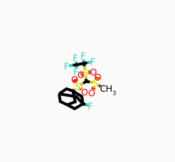 CS(=O)(=O)C(S(=O)(=O)C12CC3CC(CC(F)(C3)C1)C2)S(=O)(=O)C(F)(F)C(F)(F)F